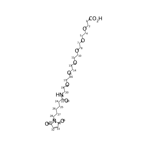 O=C(O)CCOCCOCCOCCOCCOCCOCCNC(=O)CCCCCN1C(=O)C=CC1=O